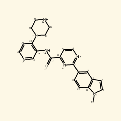 Cn1ccc2cc(-c3nccc(C(=O)Nc4cnccc4N4CCNCC4)n3)ccc21